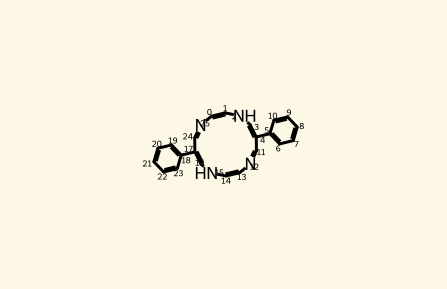 C1=CNC=C(c2ccccc2)C=NC=CNC=C(c2ccccc2)C=N1